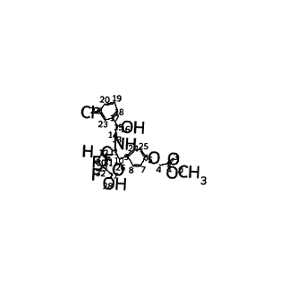 COC(=O)COc1ccc(CC(C)NCC(O)c2cccc(Cl)c2)cc1.O=C(O)C(F)(F)F